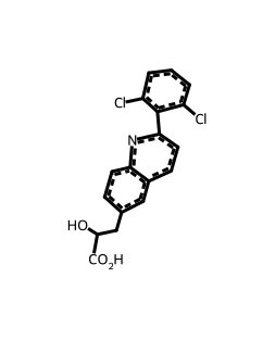 O=C(O)C(O)Cc1ccc2nc(-c3c(Cl)cccc3Cl)ccc2c1